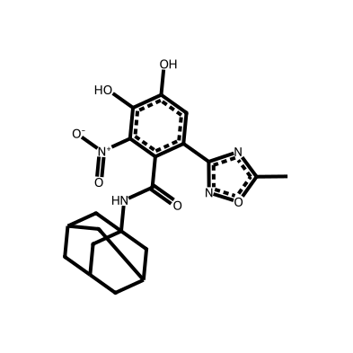 Cc1nc(-c2cc(O)c(O)c([N+](=O)[O-])c2C(=O)NC23CC4CC(CC(C4)C2)C3)no1